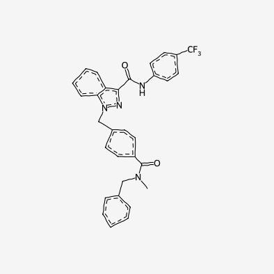 CN(Cc1ccccc1)C(=O)c1ccc(Cn2nc(C(=O)Nc3ccc(C(F)(F)F)cc3)c3ccccc32)cc1